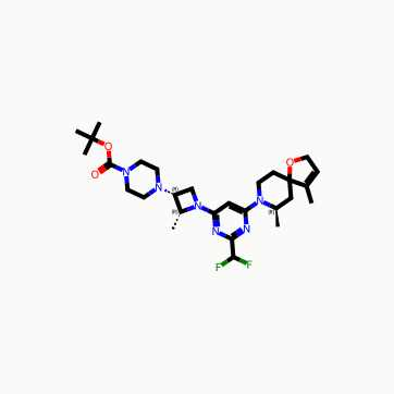 CC1=CCOC12CCN(c1cc(N3C[C@@H](N4CCN(C(=O)OC(C)(C)C)CC4)[C@H]3C)nc(C(F)F)n1)[C@H](C)C2